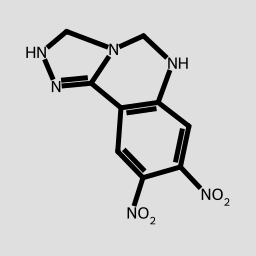 O=[N+]([O-])c1cc2c(cc1[N+](=O)[O-])C1=NNCN1CN2